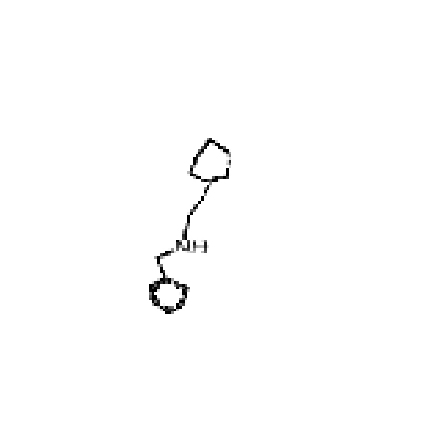 [c]1cccc(CNCCC2=CCCCC2)c1